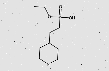 CCOP(=O)(O)CCC1CC[N]CC1